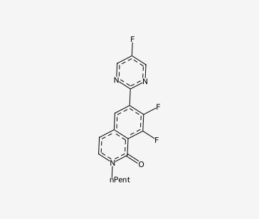 CCCCCn1ccc2cc(-c3ncc(F)cn3)c(F)c(F)c2c1=O